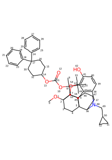 COC12CCC3(CC1C(C)(OC(=O)OC1CCC(c4ccccc4)(c4ccccc4)CC1)C(C)(C)C)C1Cc4ccc(O)c5c4C3(CCN1CC1CC1)C2O5